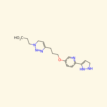 O=C(O)CCN1CC=C(CCCOc2ccc(C3=CCNN3)nc2)N=N1